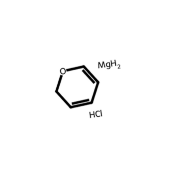 C1=CCOC=C1.Cl.[MgH2]